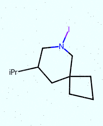 CC(C)C1CN(I)CC2(CCC2)C1